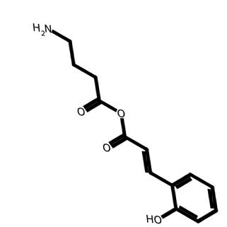 NCCCC(=O)OC(=O)/C=C/c1ccccc1O